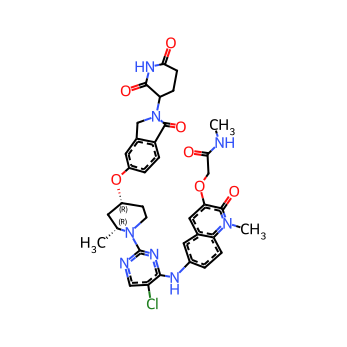 CNC(=O)COc1cc2cc(Nc3nc(N4CC[C@@H](Oc5ccc6c(c5)CN(C5CCC(=O)NC5=O)C6=O)C[C@H]4C)ncc3Cl)ccc2n(C)c1=O